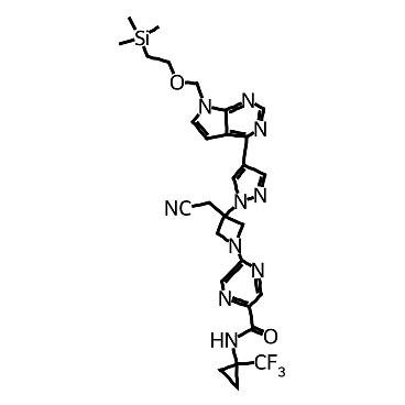 C[Si](C)(C)CCOCn1ccc2c(-c3cnn(C4(CC#N)CN(c5cnc(C(=O)NC6(C(F)(F)F)CC6)cn5)C4)c3)ncnc21